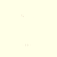 Cc1cc(C=O)ccc1C1=NCCS1